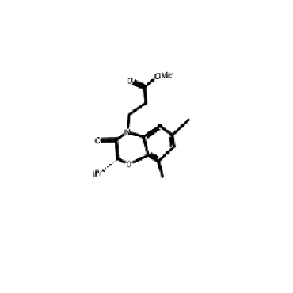 COC(=O)CCN1C(=O)[C@@H](C(C)C)Oc2c(C)cc(C)cc21